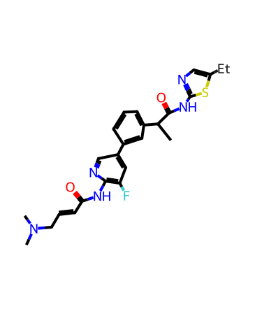 CCc1cnc(NC(=O)C(C)c2cccc(-c3cnc(NC(=O)C=CCN(C)C)c(F)c3)c2)s1